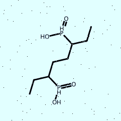 CCC(CCC(CC)[PH](=O)O)[PH](=O)O